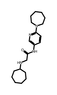 O=C(CNC1CCCCCC1)Nc1ccc(N2CCCCCC2)nc1